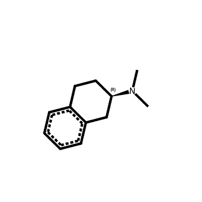 CN(C)[C@@H]1CCc2ccccc2C1